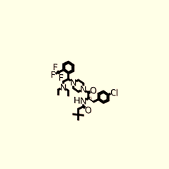 CCN(CC)CC(c1ccccc1C(F)(F)F)N1CCN(C(=O)[C@@H](Cc2ccc(Cl)cc2)NC(=O)CC(C)(C)C)CC1